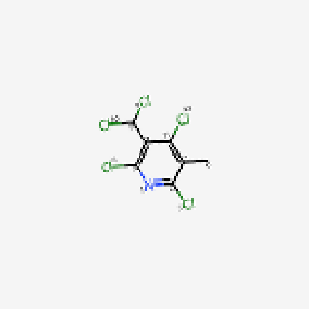 Cc1c(Cl)nc(Cl)c(C(Cl)Cl)c1Cl